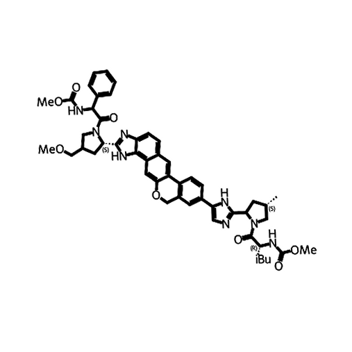 CCC(C)[C@@H](NC(=O)OC)C(=O)N1C[C@@H](C)CC1c1ncc(-c2ccc3c(c2)COc2cc4c(ccc5nc([C@@H]6CC(COC)CN6C(=O)C(NC(=O)OC)c6ccccc6)[nH]c54)cc2-3)[nH]1